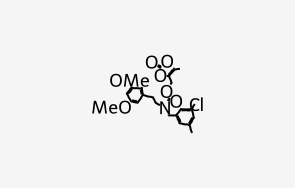 COc1ccc(OC)c(CCN(Cc2cc(C)cc(Cl)c2)C(=O)OCc2oc(=O)oc2C)c1